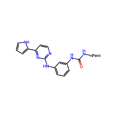 CCCCCNC(=O)Nc1cccc(Nc2nccc(-c3ccc[nH]3)n2)c1